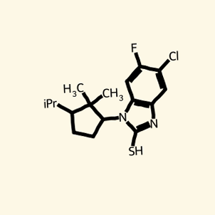 CC(C)C1CCC(n2c(S)nc3cc(Cl)c(F)cc32)C1(C)C